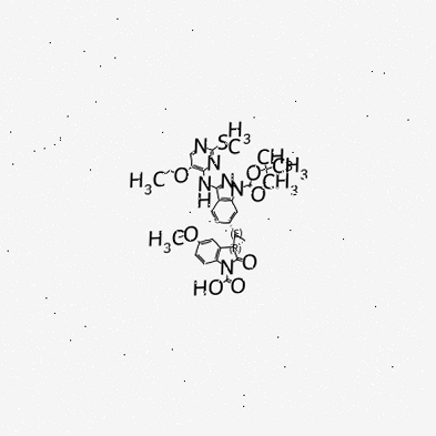 CCOc1cnc(SC)nc1Nc1nn(C(=O)OC(C)(C)C)c2cc([C@@H]3C[C@@]34C(=O)N(C(=O)O)c3ccc(OC)cc34)ccc12